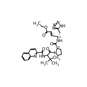 CCOC(=O)/C=C/[C@H](Cc1nnn[nH]1)NC(=O)[C@H]1CCCN1C(=O)C(NC(=O)c1ccc2ccccc2n1)C(C)(C)C